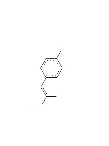 CCOC(=O)/C(F)=C/c1ccc(C(F)(F)F)cc1